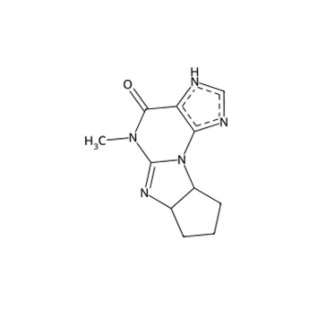 CN1C(=O)c2[nH]cnc2N2C1=NC1CCCC12